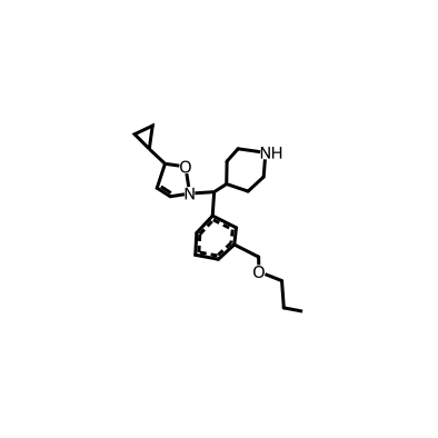 CCCOCc1cccc(C(C2CCNCC2)N2C=CC(C3CC3)O2)c1